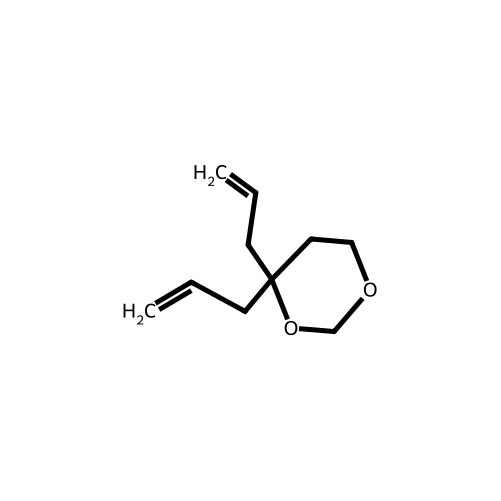 C=CCC1(CC=C)CCOCO1